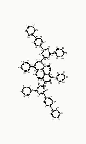 c1ccc(-c2nc(-c3ccc(-c4ccccn4)cc3)nc(-c3cc(-c4ccccc4)c4ccc5c(-c6nc(-c7ccccc7)nc(-c7ccc(-c8ccccn8)cc7)n6)cc(-c6ccccc6)c6ccc3c4c65)n2)cc1